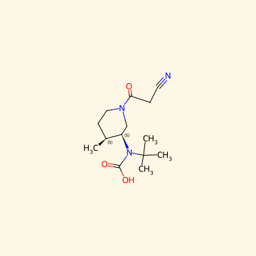 C[C@H]1CCN(C(=O)CC#N)C[C@H]1N(C(=O)O)C(C)(C)C